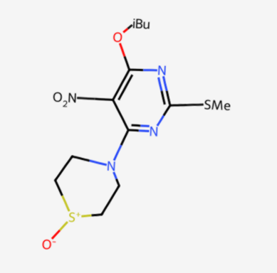 CCC(C)Oc1nc(SC)nc(N2CC[S+]([O-])CC2)c1[N+](=O)[O-]